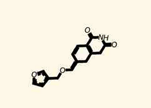 O=C1CC2=C(C=CC(=COCc3ccoc3)C2)C(=O)N1